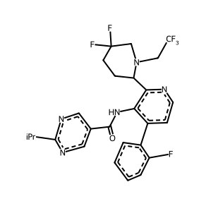 CC(C)c1ncc(C(=O)Nc2c(-c3ccccc3F)ccnc2C2CCC(F)(F)CN2CC(F)(F)F)cn1